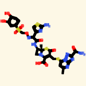 Cc1cc(SCC2=C(C(=O)O)N3C[C@@H](NC(=O)C(=NOCS(=O)(=O)c4ccc(O)c(O)c4)c4csc(N)n4)[C@H]3SC2=O)n2nc(C(N)=O)nc2n1